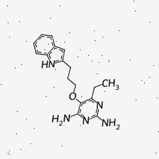 CCc1nc(N)nc(N)c1OCCCc1cc2ccccc2[nH]1